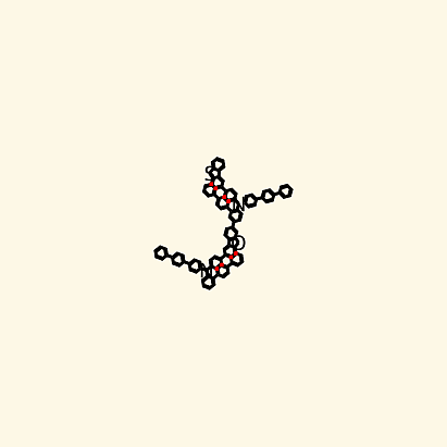 c1ccc(-c2ccc(-c3ccc(N(c4ccc(-c5ccc6oc7cc(-c8ccc(N(c9ccc(-c%10ccc(-c%11ccccc%11)cc%10)cc9)c9ccc(-c%10ccc%11sc%12ccccc%12c%11c%10)cc9)c(-c9ccc(-c%10ccccc%10)cc9)c8)ccc7c6c5)cc4)c4ccccc4-c4ccc(-c5ccccc5)cc4)cc3)cc2)cc1